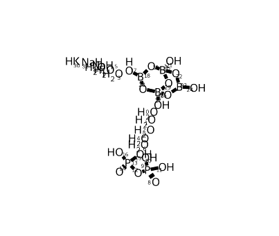 O.O.O.O.O.O.O.O.O=P(O)(O)OP(=O)(O)O.OB1O[B-]2(O)OB(O)O[B-](O)(O1)O2.[KH].[NaH].[NaH]